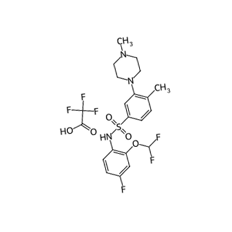 Cc1ccc(S(=O)(=O)Nc2ccc(F)cc2OC(F)F)cc1N1CCN(C)CC1.O=C(O)C(F)(F)F